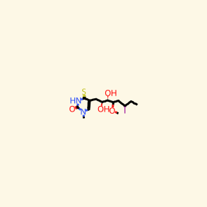 CCC(I)CC(OC)[C@@H](O)[C@@H](O)Cc1cn(C)c(=O)[nH]c1=S